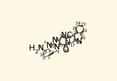 CC#CCn1c(N(C)CC(C)N)nc2ccn(Cc3ncc4ccccc4c3C#N)c(=O)c21